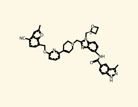 Cc1cc2c(C#N)ccc(COc3cccc(C4=CCN(Cc5nc6cc(NC(=O)c7ccc8[nH]nc(C)c8c7)ccc6n5C[C@@H]5CCO5)CC4)n3)c2o1